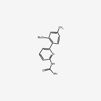 Cc1ccc(-c2cccc(NC(=O)C(C)(C)C)n2)c(OCC(C)C)c1